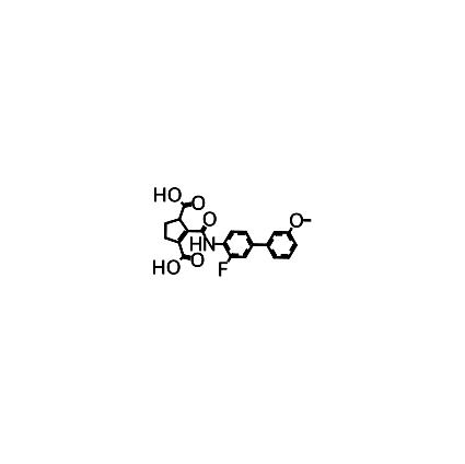 COc1cccc(-c2ccc(NC(=O)C3=C(C(=O)O)CCC3C(=O)O)c(F)c2)c1